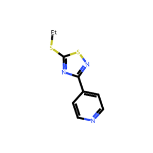 CCSc1nc(-c2ccncc2)ns1